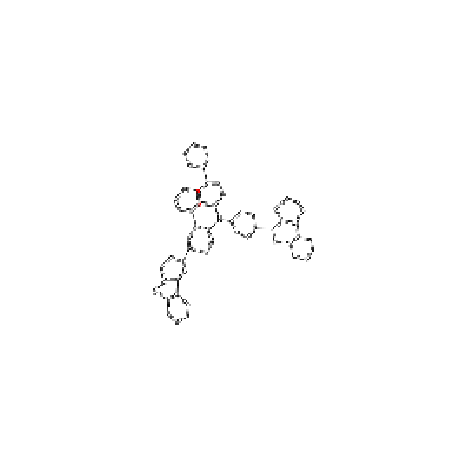 c1ccc(-c2ccc(N(c3ccc(-c4cc5ccccc5c5ccccc45)cc3)c3ccc(-c4ccc5sc6ccccc6c5c4)cc3-c3ccccc3)cc2)cc1